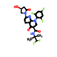 CC(C)(NC(=O)c1cn(-c2c(F)cc(F)cc2F)c2nc(N3C[C@@H](O)CC3=O)ccc2c1=O)C(F)F